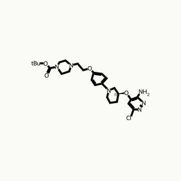 CC(C)(C)OC(=O)N1CCN(CCOc2ccc(N3CCC[C@H](Oc4cc(Cl)nnc4N)C3)cc2)CC1